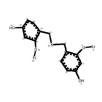 CCOc1cc(O)ccc1CSCc1ccc(O)cc1OCC